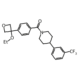 CCOC1(c2ccc(C(=O)N3CCC(c4cccc(C(F)(F)F)c4)CC3)cc2)COC1